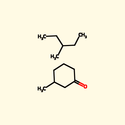 CC1CCCC(=O)C1.CCC(C)CC